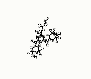 CCOC(=O)CNc1nc(N(C)C2CC(C)(C)NC(C)(C)C2)nc(N(C)C2CC(C)(C)NC(C)(C)C2)n1